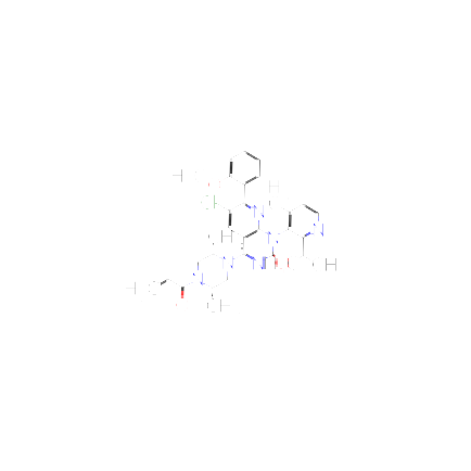 C=CC(=O)N1C[C@H](C)N(c2nc(=O)n(-c3c(C)ccnc3C(C)C)c3nc(-c4ccccc4OC)c(Cl)cc23)C[C@H]1C